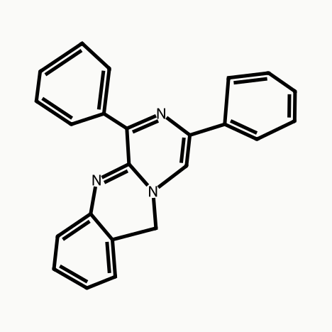 C1=C(c2ccccc2)N=C(c2ccccc2)C2=Nc3ccccc3CN12